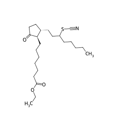 CCCCCC(CC[C@H]1CCC(=O)[C@@H]1CCCCCCC(=O)OCC)SC#N